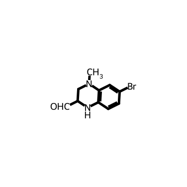 CN1CC(C=O)Nc2ccc(Br)cc21